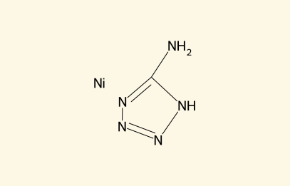 Nc1nnn[nH]1.[Ni]